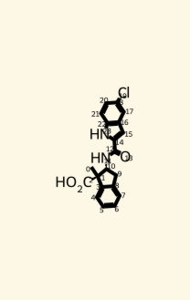 C[C@@]1(C(=O)O)c2ccccc2C[C@H]1NC(=O)c1cc2cc(Cl)ccc2[nH]1